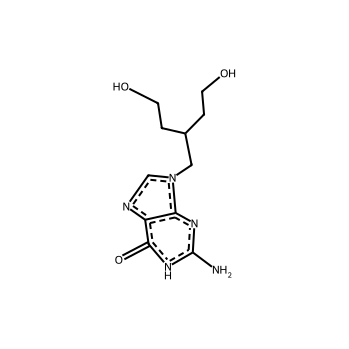 Nc1nc2c(ncn2CC(CCO)CCO)c(=O)[nH]1